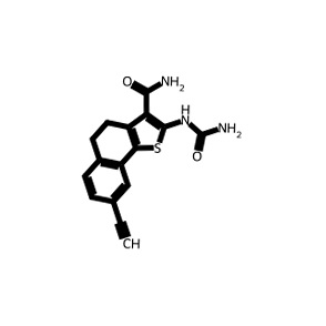 C#Cc1ccc2c(c1)-c1sc(NC(N)=O)c(C(N)=O)c1CC2